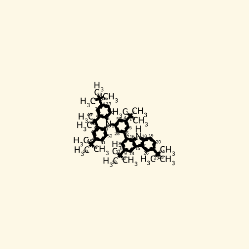 CC(C)(C)c1cc(-c2cc(C(C)(C)C)cc3c2[nH]c2ccc(C(C)(C)C)cc23)cc(N2c3ccc(C(C)(C)C)cc3C(C)(C)c3cc(C(C)(C)C)ccc32)c1